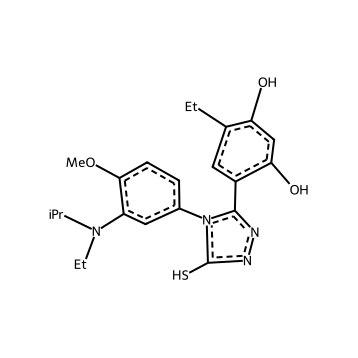 CCc1cc(-c2nnc(S)n2-c2ccc(OC)c(N(CC)C(C)C)c2)c(O)cc1O